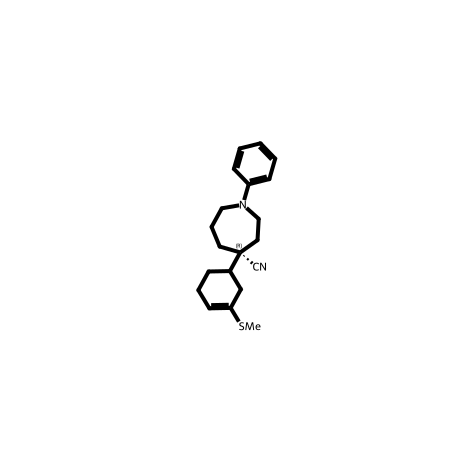 CSC1=CCCC([C@@]2(C#N)CCCN(c3ccccc3)CC2)C1